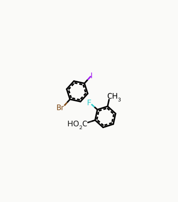 Brc1ccc(I)cc1.Cc1cccc(C(=O)O)c1F